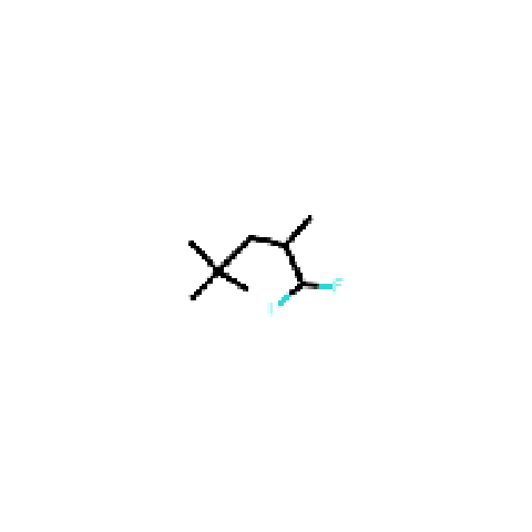 CC(CC(C)(C)C)C(F)F